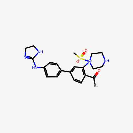 CCC(=O)c1ccc(-c2ccc(NC3=NCCN3)cc2)cc1[N+]1(S(C)(=O)=O)CCNCC1